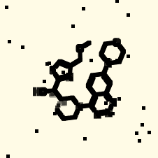 COCc1csc([C@H](O)[C@H]2CCCN(c3nnnc4cc(N5CCOCC5)ccc34)C2)n1